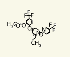 CCC[C@H]1C[C@@H](Oc2ccc(C(F)(F)F)cc2OCOC)CCN1Oc1ccc(C(F)(F)F)cn1